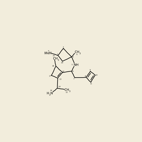 CNC1CC(C)(NC(CC2=CC=C2)C2=C(C(C)N)CC2C)C1